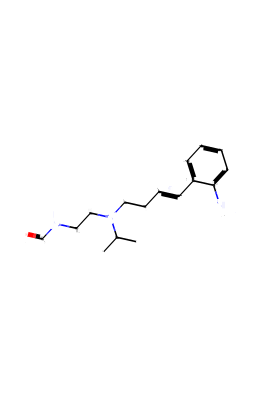 CC(C)N(CC/C=C/c1ccccc1N)CCNC=O